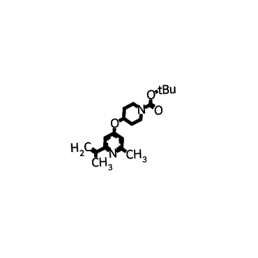 C=C(C)c1cc(OC2CCN(C(=O)OC(C)(C)C)CC2)cc(C)n1